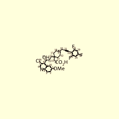 COc1ccc2ncc(Cl)c([C@H](O)CCC3(CC(=O)O)CCN(CC#Cc4c(F)cc(F)cc4F)CC3)c2c1